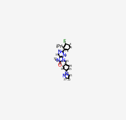 CC(C)c1c(F)cccc1-c1ncc2c(n1)n(Cc1ccc(-n3cccn3)cc1)c(=O)n2C